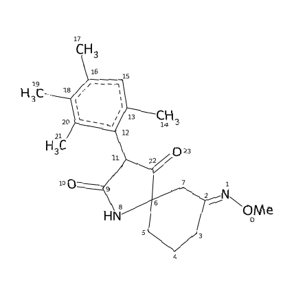 CON=C1CCCC2(C1)NC(=O)C(c1c(C)cc(C)c(C)c1C)C2=O